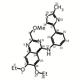 CCOc1cc2nc(COC)nc(Nc3cccc(-c4csc(C)n4)c3)c2cc1OCC